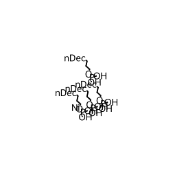 CCCCCCCCCCCCCOP(O)O.CCCCCCCCCCCCCOP(O)O.CCCCCCCCCCCCCOP(O)O.CCCCCCCCCCCCCOP(O)O.[Ni]